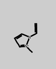 C=Cn1ccc[n+]1C